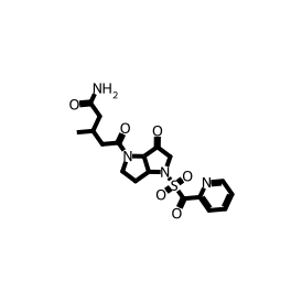 CC(CC(N)=O)CC(=O)N1CCC2C1C(=O)CN2S(=O)(=O)C(=O)c1ccccn1